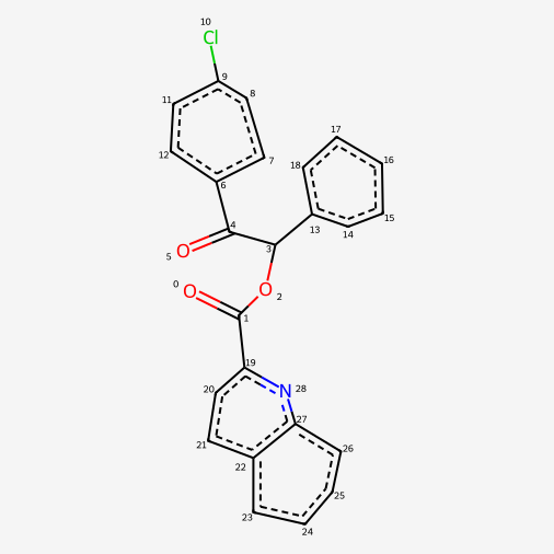 O=C(OC(C(=O)c1ccc(Cl)cc1)c1ccccc1)c1ccc2ccccc2n1